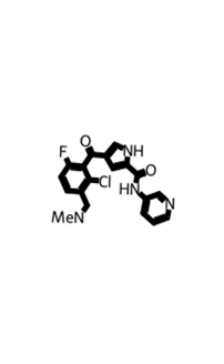 CNCc1ccc(F)c(C(=O)c2c[nH]c(C(=O)Nc3cccnc3)c2)c1Cl